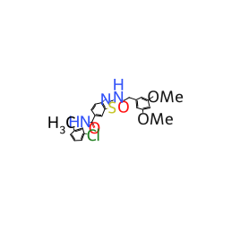 COc1cc(CC(=O)Nc2nc3ccc(C(=O)Nc4c(C)cccc4Cl)cc3s2)cc(OC)c1